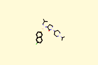 CC(C)CN(C1CCN(C2CCN(C(C)C)CC2)C1=O)S(=O)(=O)c1ccc2cc(Cl)ccc2c1